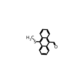 CSc1c2ccccc2c(C=O)c2ccccc12